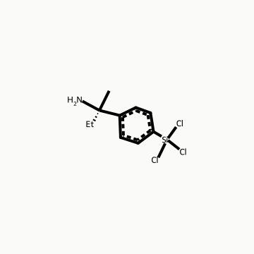 CC[C@@](C)(N)c1ccc([Si](Cl)(Cl)Cl)cc1